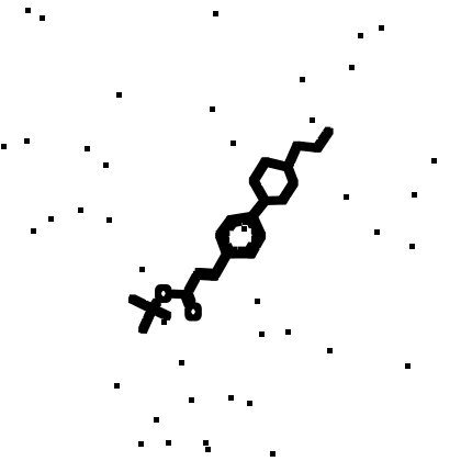 CCCC1CCC(c2ccc(C=CC(=O)OC(C)(C)C)cc2)CC1